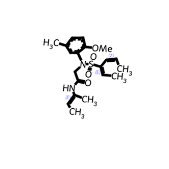 C/C=C\C(=C/C)S(=O)(=O)N(CC(=O)N/C(C)=C/C)c1cc(C)ccc1OC